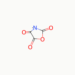 O=C1[N]C(=O)C(=O)O1